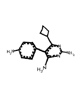 Nc1ccc(-c2c(N)nc(N)nc2C2CCC2)cc1